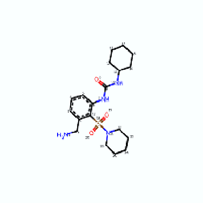 NCc1cccc(NC(=O)NC2CCCCC2)c1S(=O)(=O)N1CCCCC1